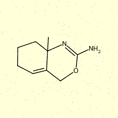 CC12CCCC=C1COC(N)=N2